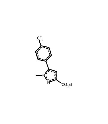 CCOC(=O)c1cc(-c2ccc(C(F)(F)F)cc2)n(C)n1